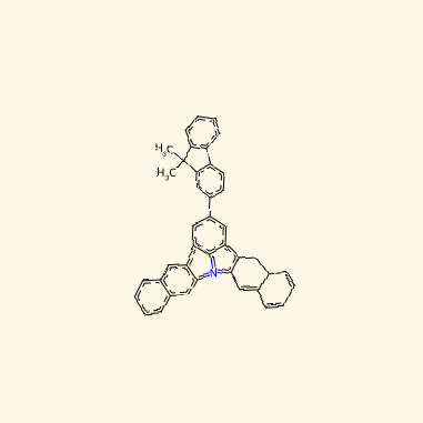 CC1(C)c2ccccc2-c2ccc(-c3cc4c5c(n6c7cc8ccccc8cc7c(c3)c46)C=C3C=CC=CC3C5)cc21